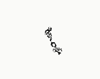 O=C(N[C@H]1CC[C@H](CCN2CCN(c3nccc4occc34)CC2)CC1)C1CC1